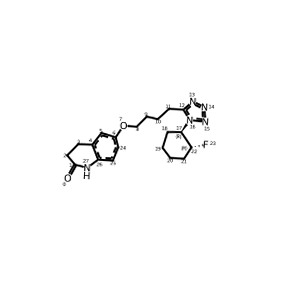 O=C1CCc2cc(OCCCCc3nnnn3[C@@H]3CCCC[C@H]3F)ccc2N1